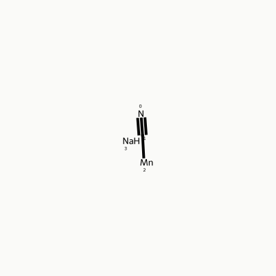 N#[C][Mn].[NaH]